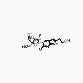 [N-]=[N+]=N[C@]1(CO)O[C@@H](n2cc3cc(CCO)[nH]c3nc2=O)[C@@H](F)[C@@H]1O